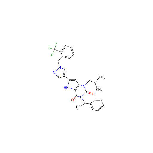 CC(C)Cn1c(=O)n(C(C)c2ccccc2)c(=O)c2[nH]c(-c3cnn(Cc4ccccc4C(F)(F)F)c3)cc21